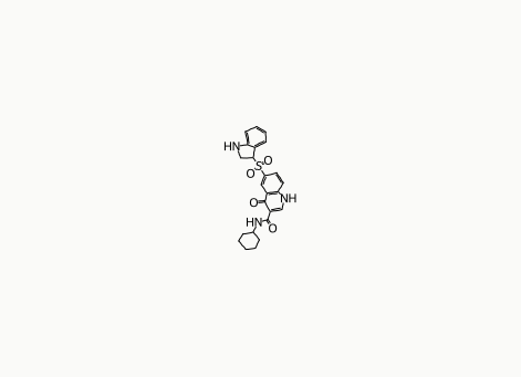 O=C(NC1CCCCC1)c1c[nH]c2ccc(S(=O)(=O)C3CNc4ccccc43)cc2c1=O